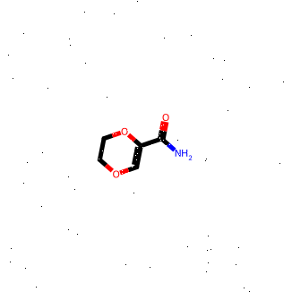 NC(=O)C1=COCCO1